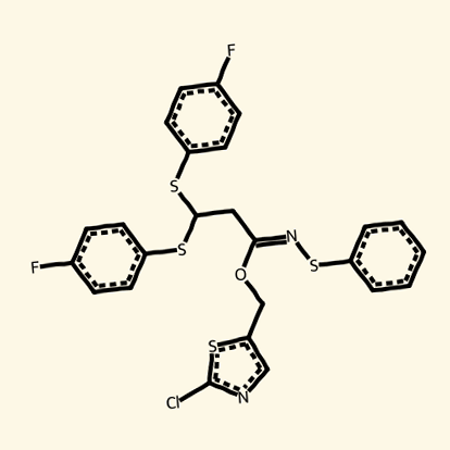 Fc1ccc(SC(C/C(=N/Sc2ccccc2)OCc2cnc(Cl)s2)Sc2ccc(F)cc2)cc1